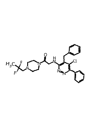 CC(F)(F)CN1CCN(C(=O)CNc2nnc(-c3ccccc3)c(Cl)c2Cc2ccccc2)CC1